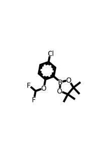 CC1(C)OB(c2cc(Cl)ccc2OC(F)F)OC1(C)C